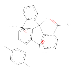 COC(=O)c1ccccc1C([AsH2])(c1ccccc1C(=O)OC)c1ccccc1C(=O)OC.Cc1ccc(S(=O)(=O)O)cc1